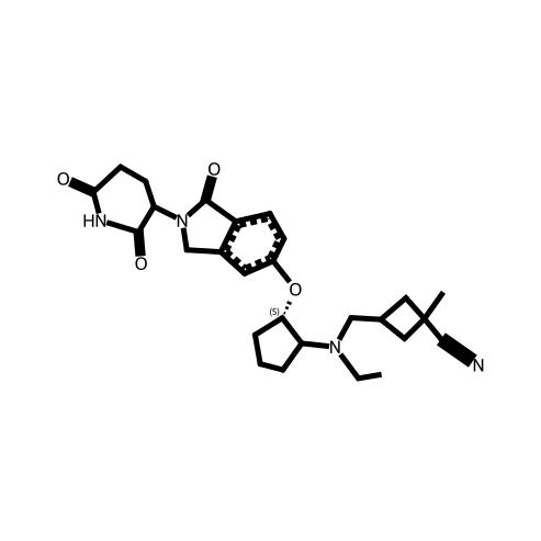 CCN(CC1CC(C)(C#N)C1)C1CCC[C@@H]1Oc1ccc2c(c1)CN(C1CCC(=O)NC1=O)C2=O